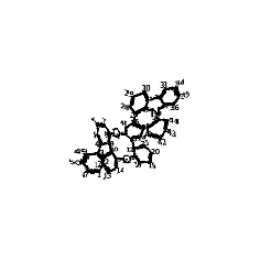 c1ccc(-c2cccc3c2-c2ccccc2Oc2ccccc2-c2ccc(-c4cccc5c6ccccc6n(-c6ccccc6)c45)cc2O3)cc1